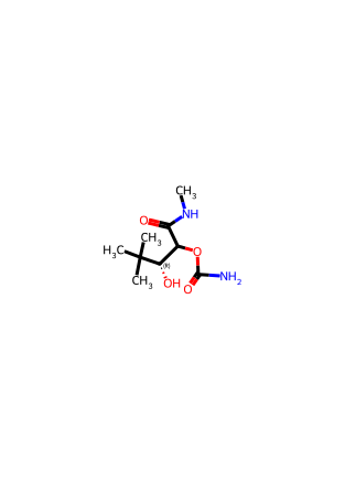 CNC(=O)C(OC(N)=O)[C@H](O)C(C)(C)C